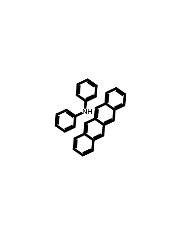 c1ccc(Nc2ccccc2)cc1.c1ccc2cc3cc4ccccc4cc3cc2c1